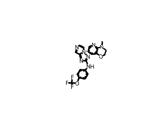 CN1CCOc2cc([N+]34C=CN=CC3=NC(Nc3ccc(OC(F)(F)F)cc3)=N4)cnc21